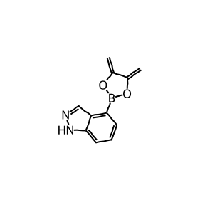 C=C1OB(c2cccc3[nH]ncc23)OC1=C